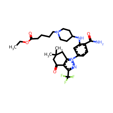 CCOC(=O)CCCCN1CCC(Nc2cc(-n3nc(C(F)(F)F)c4c3CC(C)(C)CC4=O)ccc2C(N)=O)CC1